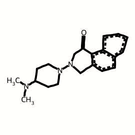 CN(C)C1CCN(N2CC(=O)c3c(ccc4ccccc34)C2)CC1